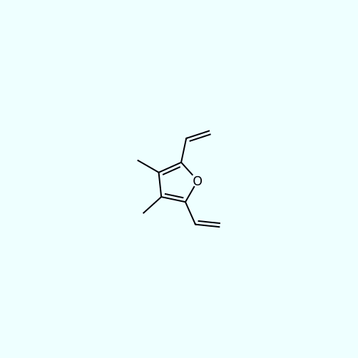 C=Cc1oc(C=C)c(C)c1C